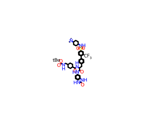 CN(C)C1CCC(NS(=O)(=O)c2ccc(-c3ccc(CC(NC(=O)C4CCC(CNC(=O)OC(C)(C)C)CC4)C(=O)Nc4ccc5[nH]c(=O)[nH]c5c4)cc3)c(C(F)(F)F)c2)CC1